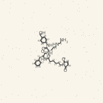 NCNCCC[C@H](NC(=O)[C@H](Cc1ccccc1)NC(=O)CCCCCN1C(=O)C=CC1=O)C(=O)Nc1ccc(CO)cc1